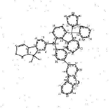 CC1(C)C2=C(C=CCC2)c2ccc(N(c3ccc(-c4ccc5oc6ccccc6c5c4)cc3)c3cccc4c3-c3ccccc3C4(c3ccccc3)c3ccccc3)cc21